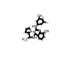 Cc1cc(F)cc(Nc2nc(NC(C)c3cccs3)c3cccc(C#N)c3n2)c1